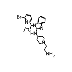 CCOC(c1cccc(Br)n1)n1c(NC2CCN(CCN)CC2)nc2ccccc21